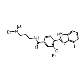 CCOc1cc(C(=O)NCCCN(CC)CC)ccc1-c1nc2c(C)cccc2[nH]1